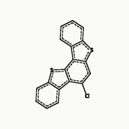 Clc1cc2sc3ccccc3c2c2sc3ccccc3c12